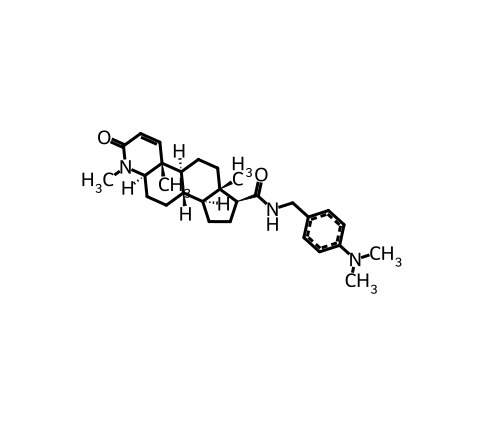 CN(C)c1ccc(CNC(=O)[C@H]2CC[C@H]3[C@@H]4CC[C@H]5N(C)C(=O)C=C[C@]5(C)[C@H]4CC[C@]23C)cc1